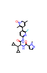 Cc1cc(-c2ccc(NC(=O)[C@@H](NC(=O)c3ccnn3C)C(C3CC3)C3CC3)nc2F)c(C)[n+]([O-])c1